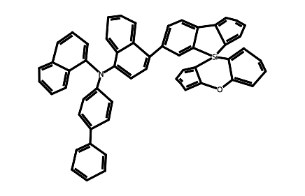 c1ccc(-c2ccc(N(c3cccc4ccccc34)c3ccc(-c4ccc5c(c4)[Si]4(c6ccccc6Oc6ccccc64)c4ccccc4-5)c4ccccc34)cc2)cc1